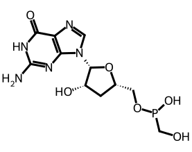 Nc1nc2c(ncn2[C@@H]2O[C@H](COP(O)CO)C[C@@H]2O)c(=O)[nH]1